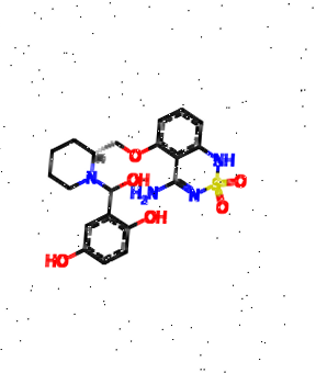 NC1=NS(=O)(=O)Nc2cccc(OC[C@H]3CCCCN3C(O)c3cc(O)ccc3O)c21